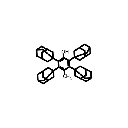 Cc1c(C23CC4CC(CC(C4)C2)C3)c(C23CC4CC(CC(C4)C2)C3)c(O)c(C23CC4CC(CC(C4)C2)C3)c1C12CC3CC(CC(C3)C1)C2